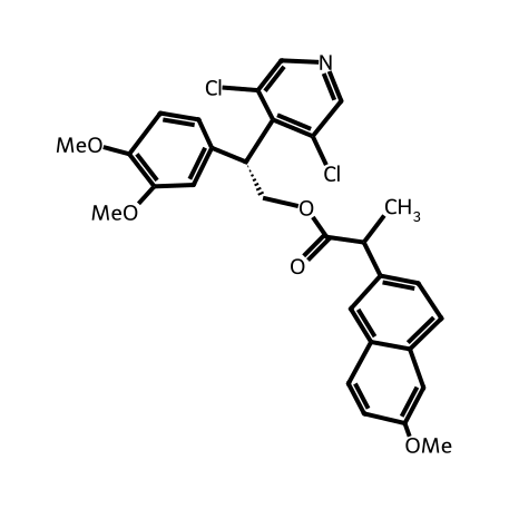 COc1ccc2cc(C(C)C(=O)OC[C@H](c3ccc(OC)c(OC)c3)c3c(Cl)cncc3Cl)ccc2c1